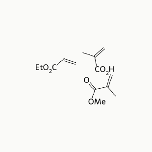 C=C(C)C(=O)O.C=C(C)C(=O)OC.C=CC(=O)OCC